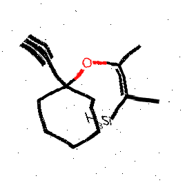 C#CC1(OC(C)=C(C)[SiH3])CCCCC1